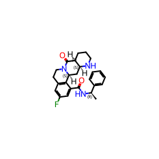 C[C@@H](NC(=O)c1cc(F)cc2c1[C@@H]1C[C@@H]3NCCC[C@@H]3C(=O)N1CC2)c1ccccc1